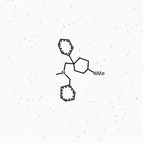 CNC1CCC(CN(C)Cc2ccccc2)(c2ccccc2)CC1